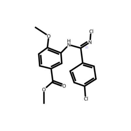 COC(=O)c1ccc(OC)c(N/C(=N\Cl)c2ccc(Cl)cc2)c1